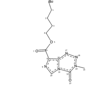 CCC(C)CCCCOC(=O)c1ncn2c(=O)n(C)nnc12